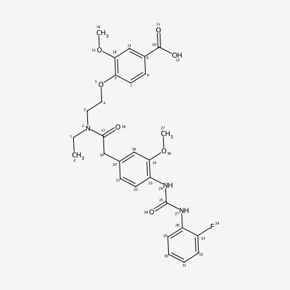 CCN(CCOc1ccc(C(=O)O)cc1OC)C(=O)Cc1ccc(NC(=O)Nc2ccccc2F)c(OC)c1